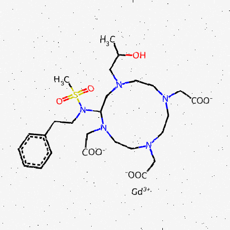 CC(O)CN1CCN(CC(=O)[O-])CCN(CC(=O)[O-])CCN(CC(=O)[O-])C(N(CCc2ccccc2)S(C)(=O)=O)C1.[Gd+3]